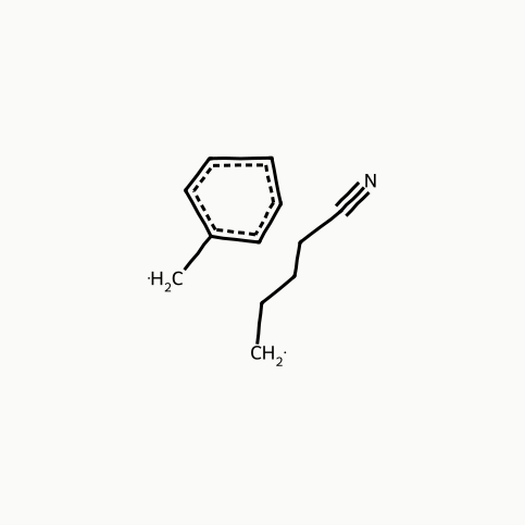 [CH2]CCCC#N.[CH2]c1ccccc1